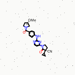 CO[C@H]1CCN(C(=O)c2ccc(Nc3nccc(N4CC[C@@](C#N)(C5CC5)C4=O)n3)cc2)C1